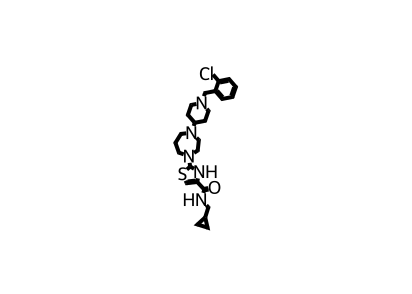 O=C(NCC1CC1)C1=CSC(N2CCCN(C3CCN(Cc4ccccc4Cl)CC3)CC2)N1